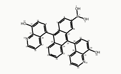 OB(O)c1ccc2c(-c3ccc(O)c4ncccc34)c3ccccc3c(-c3ccc(O)c4ncccc34)c2c1